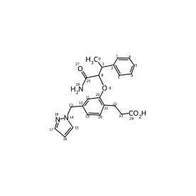 CC(c1ccccc1)C(Oc1cc(Cn2cccn2)ccc1CCC(=O)O)C(N)=O